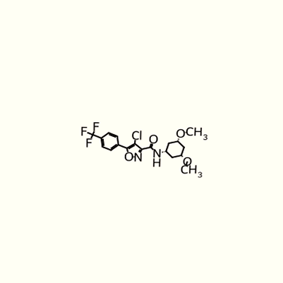 CO[C@@H]1C[C@H](NC(=O)c2noc(-c3ccc(C(F)(F)F)cc3)c2Cl)C[C@H](OC)C1